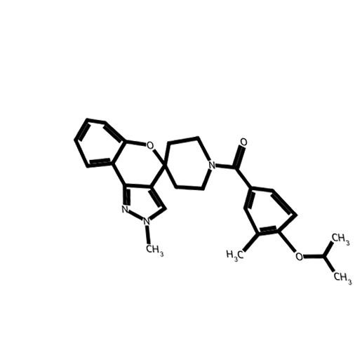 Cc1cc(C(=O)N2CCC3(CC2)Oc2ccccc2-c2nn(C)cc23)ccc1OC(C)C